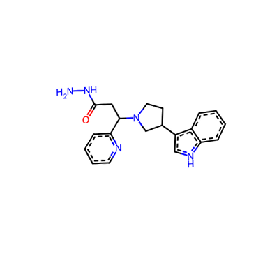 NNC(=O)CC(c1ccccn1)N1CCC(c2c[nH]c3ccccc23)C1